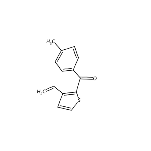 C=Cc1ccsc1C(=O)c1ccc(C)cc1